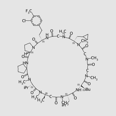 CC[C@H](C)[C@@H]1NC(=O)[C@H](CC(C)C)N(C)C(=O)C[C@@H](C)N(C)C(=O)[C@H](C(C)C)N(C)C(=O)C2(CCCC2)NC(=O)[C@@H]2CCCN2C(=O)[C@H](CCc2ccc(C(F)(F)F)c(Cl)c2)NC(=O)CN(C)C(=O)[C@H](CC2CC2)N(C)C(=O)CN(C)C(=O)CN(C)C1=O